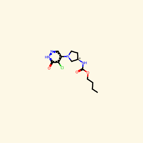 CCCCOC(=O)N[C@@H]1CCN(c2cn[nH]c(=O)c2Cl)C1